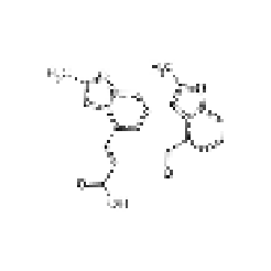 Cc1cc2c(/C=C/C(=O)O)cccc2o1.Cc1cc2c(C=O)cccc2o1